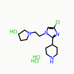 Cl.Cl.Cl.Clc1cn(CCN2CCCC2)c(C2CCNCC2)n1